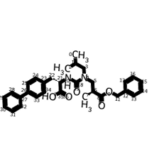 CC(C)CN(C[C@H](C)C(=O)OCc1ccccc1)C(=O)N[C@@H](Cc1ccc(-c2ccccc2)cc1)C(=O)O